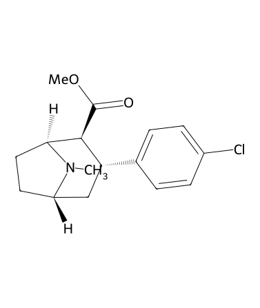 COC(=O)[C@H]1[C@H](c2ccc(Cl)cc2)C[C@@H]2CC[C@@H]1N2C